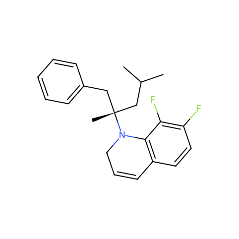 CC(C)C[C@@](C)(Cc1ccccc1)N1CC=Cc2ccc(F)c(F)c21